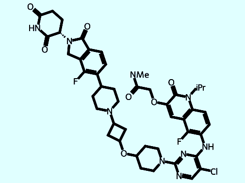 CNC(=O)COc1cc2c(F)c(Nc3nc(N4CCC(OC5CC(N6CCC(c7ccc8c(c7F)CN([C@H]7CCC(=O)NC7=O)C8=O)CC6)C5)CC4)ncc3Cl)ccc2n(C(C)C)c1=O